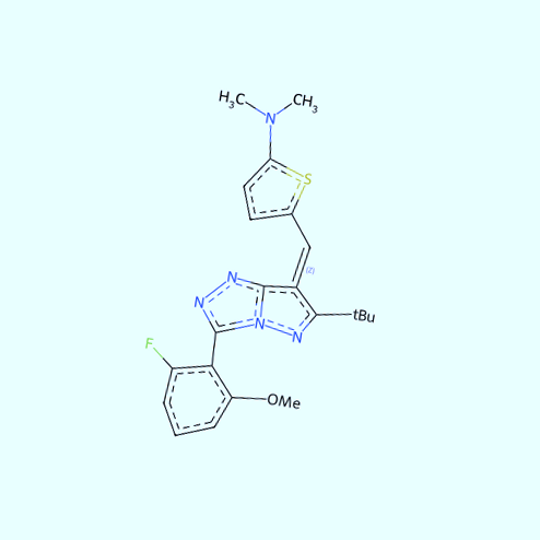 COc1cccc(F)c1-c1nnc2/c(=C\c3ccc(N(C)C)s3)c(C(C)(C)C)nn12